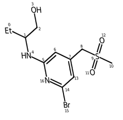 CCC(CO)Nc1cc(CS(C)(=O)=O)cc(Br)n1